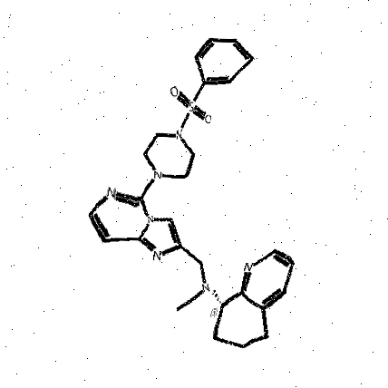 CN(Cc1cn2c(N3CCN(S(=O)(=O)c4ccccc4)CC3)nccc2n1)[C@H]1CCCc2cccnc21